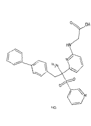 Cl.NC(Cc1ccc(-c2ccccc2)cc1)(c1cccc(NCC(=O)O)n1)S(=O)(=O)c1cccnc1